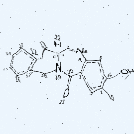 Cc1cc2c(cc1O)N=C[C@@H]1Cc3ccccc3CN1C2=O